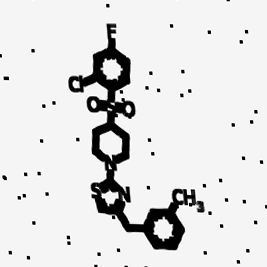 Cc1cccc(Cc2csc(N3CCC(S(=O)(=O)c4ccc(F)cc4Cl)CC3)n2)c1